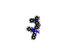 N#Cc1c(-c2ccc3ccccc3c2)nc(-c2ccccc2)nc1-c1ccc2sc3cc4c5ccccc5n(-c5ccccc5)c4cc3c2c1